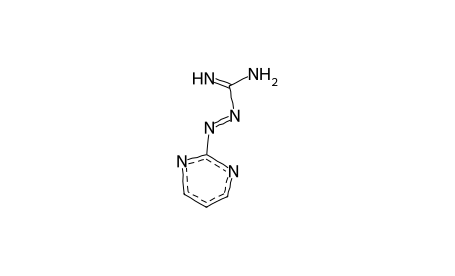 N=C(N)N=Nc1ncccn1